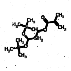 C=C(C)C(=O)OC[SiH2]C(O[Si](C)(C)C)O[Si](C)(C)C